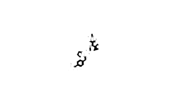 Cc1ncc([C@@H](CC(=O)NC[C@H](Cc2ccc(C(N)=O)c(F)c2)N2CCCC2)C2(C(F)(F)F)CC2)cn1